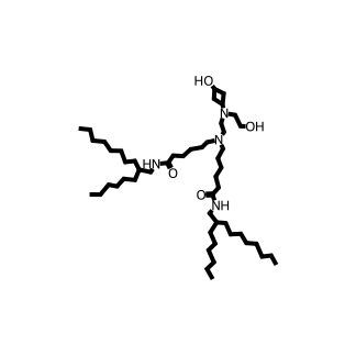 CCCCCCCCC(CCCCCC)CNC(=O)CCCCCN(CCCCCC(=O)NCC(CCCCCC)CCCCCCCC)CCN(CCO)C1CC(O)C1